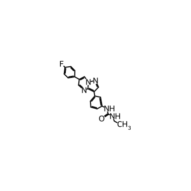 CCNC(=O)Nc1cccc(-c2cnn3cc(-c4ccc(F)cc4)cnc23)c1